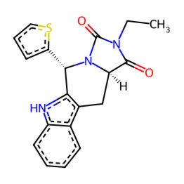 CCN1C(=O)[C@H]2Cc3c([nH]c4ccccc34)[C@H](c3cccs3)N2C1=O